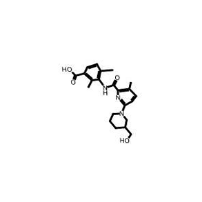 Cc1ccc(N2CCCC(CO)C2)nc1C(=O)Nc1c(C)ccc(C(=O)O)c1C